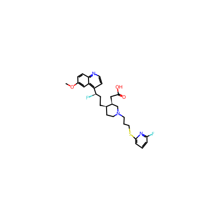 COc1ccc2nccc([C@H](F)CC[C@@H]3CCN(CCCSc4cccc(F)n4)C[C@@H]3CC(=O)O)c2c1